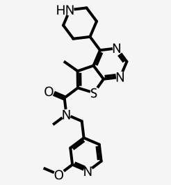 COc1cc(CN(C)C(=O)c2sc3ncnc(C4CCNCC4)c3c2C)ccn1